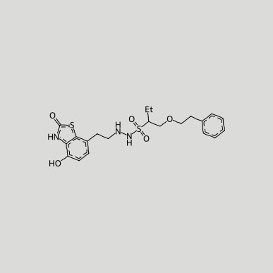 CCC(COCCc1ccccc1)S(=O)(=O)NNCCc1ccc(O)c2[nH]c(=O)sc12